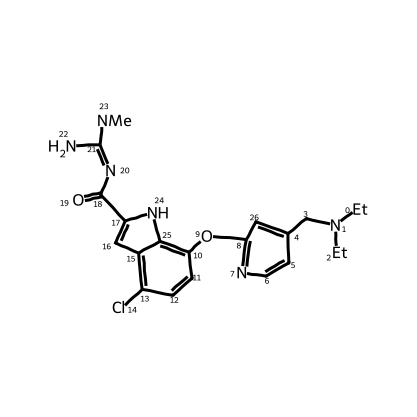 CCN(CC)Cc1ccnc(Oc2ccc(Cl)c3cc(C(=O)N=C(N)NC)[nH]c23)c1